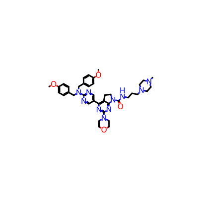 COc1ccc(CN(Cc2ccc(OC)cc2)c2ncc(-c3nc(N4CCOCC4)nc4c3CCN4C(=O)NCCCN3CCN(C)CC3)cn2)cc1